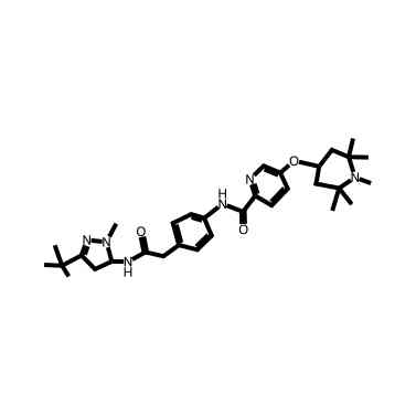 CN1N=C(C(C)(C)C)CC1NC(=O)Cc1ccc(NC(=O)c2ccc(OC3CC(C)(C)N(C)C(C)(C)C3)cn2)cc1